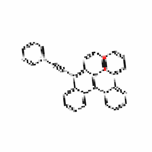 C(#Cc1c2ccccc2c(-c2ccccc2-c2ccccc2)c2ccccc12)c1ccccc1